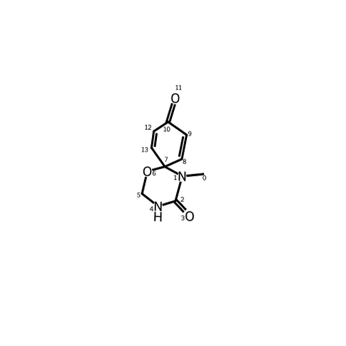 CN1C(=O)NCOC12C=CC(=O)C=C2